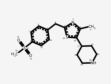 Cc1nc(Cc2ccc(S(C)(=O)=O)cc2)sc1C1CCNCC1